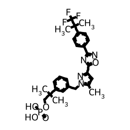 Cc1cc(-c2nc(-c3ccc(C(C)(C)C(F)(F)F)cc3)no2)nn1Cc1cccc(C(C)(C)COP(=O)(O)O)c1